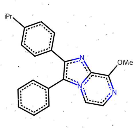 COc1nccn2c(-c3ccccc3)c(-c3ccc(C(C)C)cc3)nc12